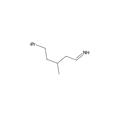 C[C](C)CCC(C)CC=N